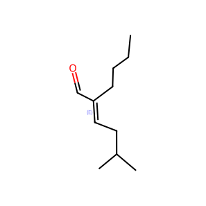 CCCC/C(C=O)=C\CC(C)C